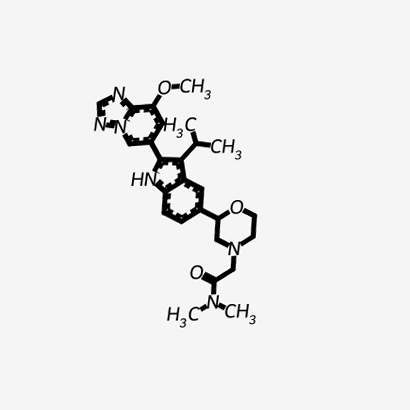 COc1cc(-c2[nH]c3ccc(C4CN(CC(=O)N(C)C)CCO4)cc3c2C(C)C)cn2ncnc12